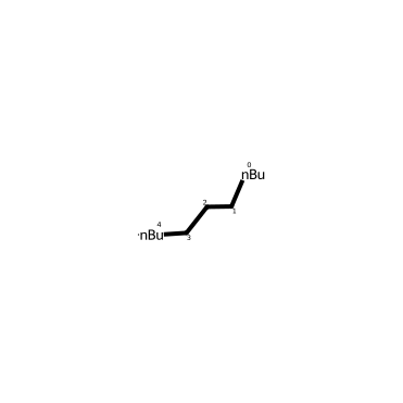 [CH2]CCCCCC[CH]CCC